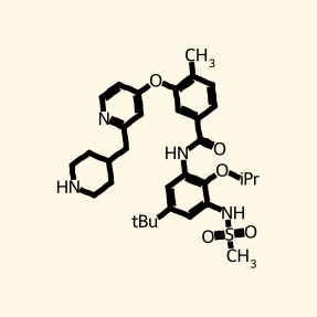 Cc1ccc(C(=O)Nc2cc(C(C)(C)C)cc(NS(C)(=O)=O)c2OC(C)C)cc1Oc1ccnc(CC2CCNCC2)c1